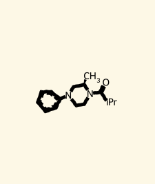 CC(C)C(=O)N1CCN(c2ccccc2)C[C@H]1C